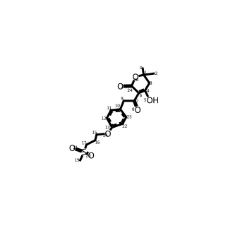 CC1(C)CC(O)=C(C(=O)Cc2ccc(OCCCS(C)(=O)=O)cc2)C(=O)O1